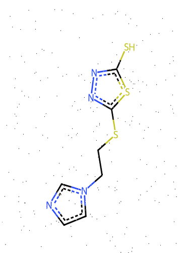 Sc1nnc(SCCn2ccnc2)s1